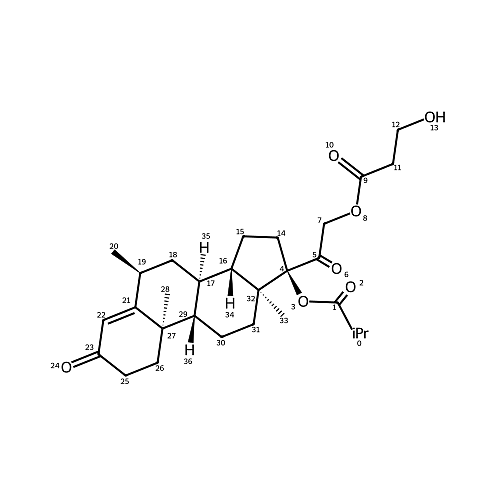 CC(C)C(=O)O[C@]1(C(=O)COC(=O)CCO)CC[C@H]2[C@@H]3C[C@H](C)C4=CC(=O)CC[C@]4(C)[C@H]3CC[C@@]21C